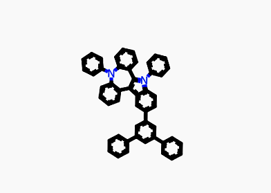 c1ccc(-c2cc(-c3ccccc3)cc(-c3ccc4c(c3)c3c(n4-c4ccccc4)-c4ccccc4N(c4ccccc4)c4ccccc4-3)c2)cc1